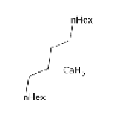 [CH2]CCCCCCCCCCCCCCC.[CaH2]